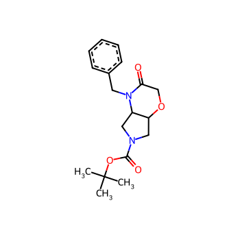 CC(C)(C)OC(=O)N1CC2OCC(=O)N(Cc3ccccc3)C2C1